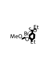 CCOC(=S)c1ccc(CC)c(OCCOC)c1Br